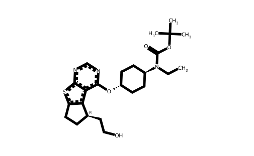 CCN(C(=O)OC(C)(C)C)[C@H]1CC[C@H](Oc2ncnc3sc4c(c23)[C@@H](CCO)CC4)CC1